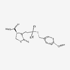 CCC(CC)(CN1C(=S)SC[C@H]1C(=O)OC)SCc1ccc(OC)cc1